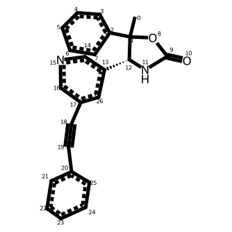 CC1(c2ccccc2)OC(=O)N[C@@H]1c1cncc(C#Cc2ccccc2)c1